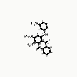 COc1cc(Nc2cccc(N)c2)c2c(c1N)C(=O)c1ccccc1C2=O